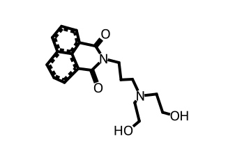 O=C1c2cccc3cccc(c23)C(=O)N1CCCN(CCO)CCO